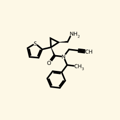 C#CCN(C(=O)[C@@]1(c2cccs2)C[C@H]1CN)C(C)c1ccccc1